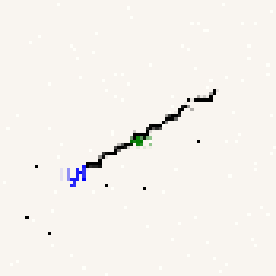 CCCCCCCCCCCCCCCCCN.Cl